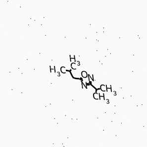 CC(C)Cc1nc(C(C)C)no1